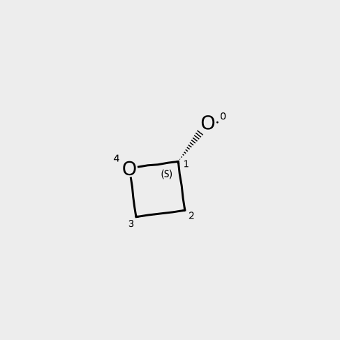 [O][C@@H]1CCO1